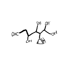 O=CCC(O)C(O)C(O)C(O)O